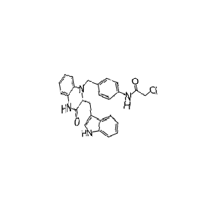 O=C(CCl)Nc1ccc(CN2c3ccccc3NC(=O)C2Cc2c[nH]c3ccccc23)cc1